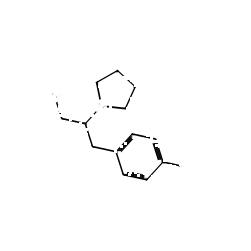 NCC(Cc1ccc(O)cc1)N1CCCC1